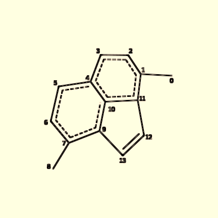 Cc1ccc2ccc(C)c3c2c1C=C3